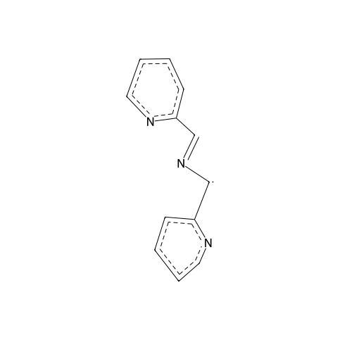 [CH](N=Cc1ccccn1)c1ccccn1